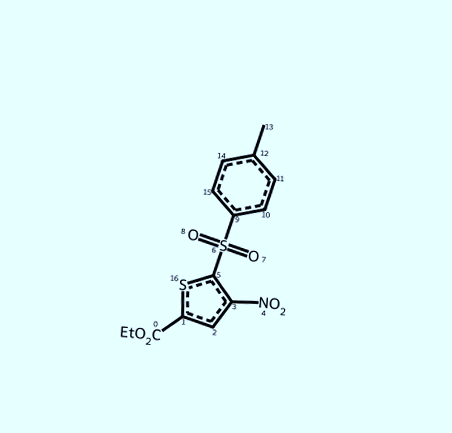 CCOC(=O)c1cc([N+](=O)[O-])c(S(=O)(=O)c2ccc(C)cc2)s1